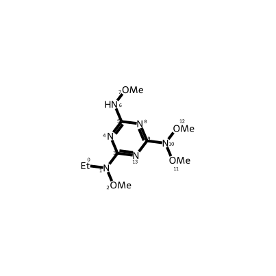 CCN(OC)c1nc(NOC)nc(N(OC)OC)n1